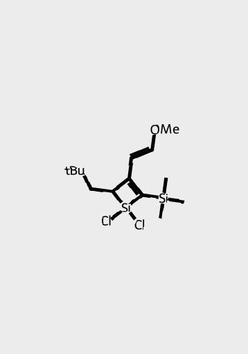 COC=CC1=C([Si](C)(C)C)[Si](Cl)(Cl)C1CC(C)(C)C